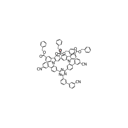 [C-]#[N+]c1cccc(-c2ccc(-c3nc(-c4cccc(-c5cccc(C#N)c5)c4)nc(-c4ccc(-c5cccc(C#N)c5)c(-n5c6ccc(C(=O)OCc7ccccc7)cc6c6cc(C(=O)OCc7ccccc7)ccc65)c4)n3)cc2-n2c3ccc(C(=O)OCc4ccccc4)cc3c3cc(C(=O)OCc4ccccc4)ccc32)c1